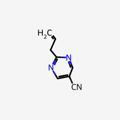 C=CCc1ncc(C#N)cn1